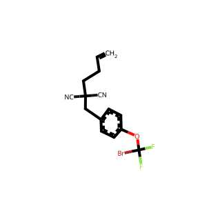 C=CCCC(C#N)(C#N)Cc1ccc(OC(F)(F)Br)cc1